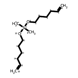 C=CCCCCO[Si](C)(C)OCCCCC=C